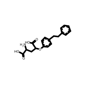 NC(CC(Oc1ccc(CCc2ccccc2)cc1)C(=O)O)C(=O)O